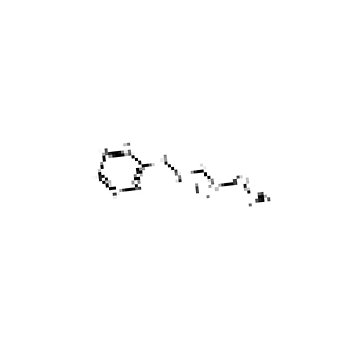 CC(C)(C)O[SiH2]CCCc1ccccc1